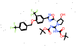 CC(C)(C)OC(=O)/N=C(\NC(=O)OC(C)(C)C)N1CC[C@H](O)[C@H]1c1nc(-c2ccc(OCc3ccc(C(F)(F)F)cc3)c(C(F)(F)F)c2)no1